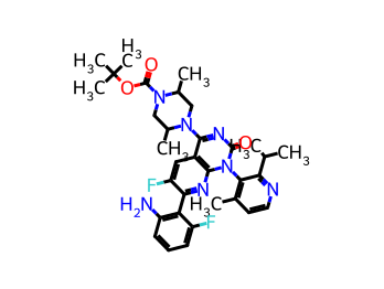 Cc1ccnc(C(C)C)c1-n1c(=O)nc(N2CC(C)N(C(=O)OC(C)(C)C)CC2C)c2cc(F)c(-c3c(N)cccc3F)nc21